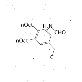 CCCCCCCCc1ccc(CCl)cc1CCCCCCCC.NC=O